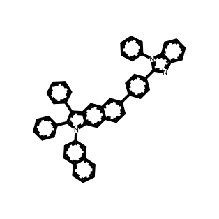 c1ccc(-c2c(-c3ccccc3)n(-c3ccc4ccccc4c3)c3cc4ccc(-c5ccc(-c6nc7ccccc7n6-c6ccccc6)cc5)cc4cc23)cc1